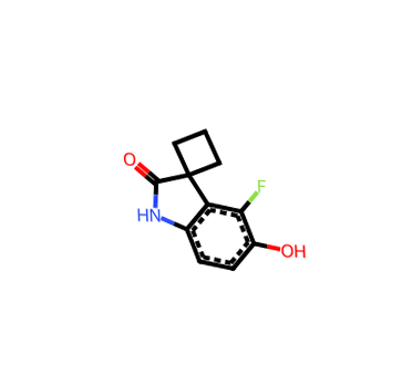 O=C1Nc2ccc(O)c(F)c2C12CCC2